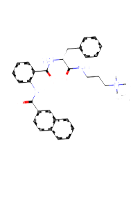 C[N+](C)(C)CCCNC(=O)[C@H](Cc1ccccc1)NC(=O)c1ccccc1NC(=O)c1ccc2ccccc2c1